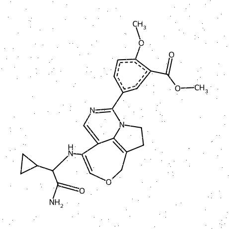 COC(=O)c1cc(C2=NC=C3C(NC(C(N)=O)C4CC4)=COCC4=C3N2CC4)ccc1OC